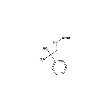 CCCCCNCC(O)(c1ccccc1)[N+](=O)[O-]